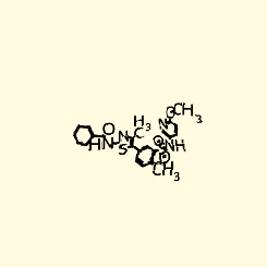 COc1ccc(NS(=O)(=O)c2cc(-c3sc(NC(=O)C4CCCCC4)nc3C)ccc2C)cn1